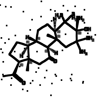 BC1(B)C[C@]2(C)[C@H]3C(=O)C[C@]4(C)[C@@H](C(C)=O)CC[C@H]4[C@@H]3CC[C@H]2C(B)(B)[C@]1(B)O